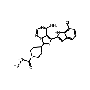 CNC(=O)N1CCC(c2nc(-c3cc4cccc(Cl)c4[nH]3)c3c(N)ncnn23)CC1